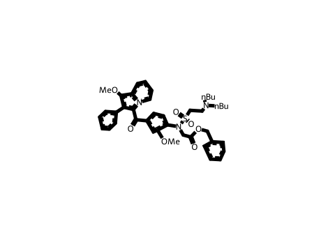 CCCCN(CCCC)CCS(=O)(=O)N(CC(=O)OCc1ccccc1)c1ccc(C(=O)c2c(-c3ccccc3)c(OC)c3ccccn23)cc1OC